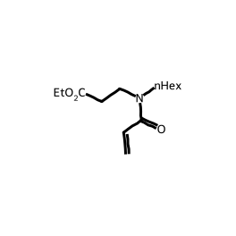 C=CC(=O)N(CCCCCC)CCC(=O)OCC